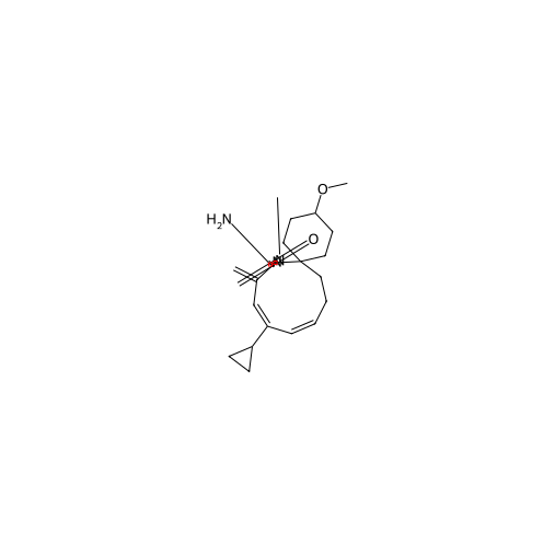 C=C1/C=C(C2CC2)\C=C/CCC2(CCC(OC)CC2)C12N=C(N)N(C)C2=O